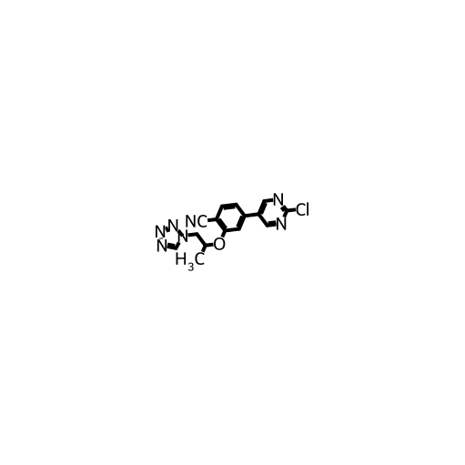 CC(Cn1cnnn1)Oc1cc(-c2cnc(Cl)nc2)ccc1C#N